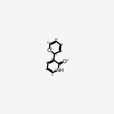 O=c1[nH]cccc1C1C=CC=CO1